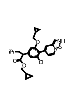 CC(C)CC(C(=O)OCC1CC1)c1cc(Cl)c(C2=CC3=CNSN3C=C2)c(OCC2CC2)c1